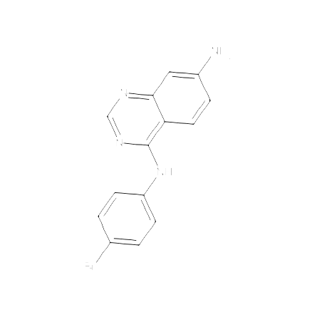 Nc1ccc2c(Nc3ccc(Br)cc3)ncnc2c1